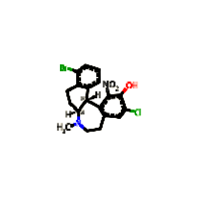 CN1CCc2cc(Cl)c(O)c([N+](=O)[O-])c2[C@H]2c3cccc(Br)c3CC[C@@H]21